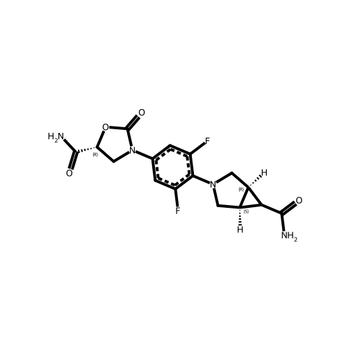 NC(=O)C1[C@H]2CN(c3c(F)cc(N4C[C@H](C(N)=O)OC4=O)cc3F)C[C@@H]12